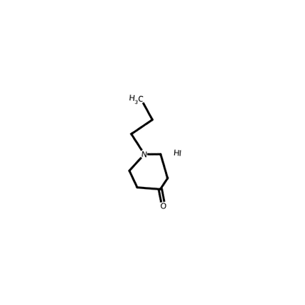 CCCN1CCC(=O)CC1.I